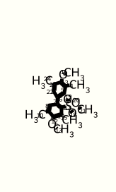 COc1c(C)cc(-c2cc(C)c(OC)c(C)c2S(=O)(=O)OC)cc1C